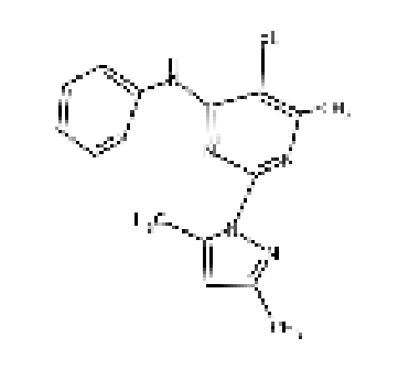 CCc1c(C)nc(-n2nc(C)cc2C)nc1Nc1ccccc1